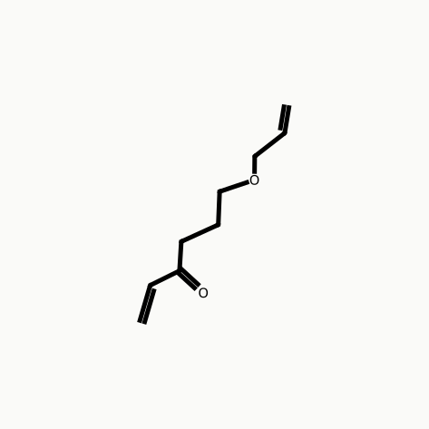 C=CCOCCCC(=O)C=C